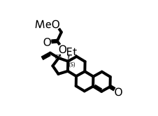 C=C[C@]1(OC(=O)COC)CCC2C3CCC4=CC(=O)CCC4C3CC[C@@]21CC